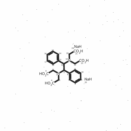 O=C(O)CN(CC(=O)O)C(c1ccccc1)C(c1ccccc1)N(CC(=O)O)CC(=O)O.[NaH].[NaH]